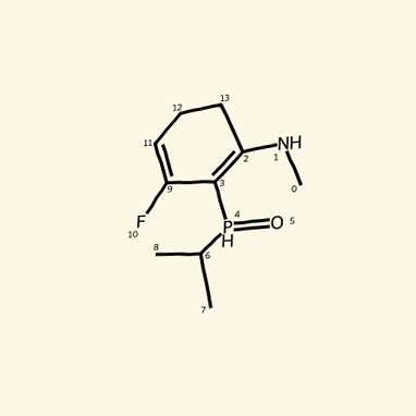 CNC1=C([PH](=O)C(C)C)C(F)=CCC1